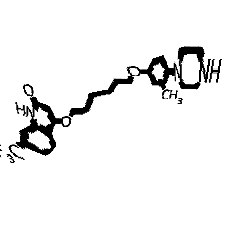 Cc1cc(OCCCCCCOc2cc(=O)[nH]c3cc(C(F)(F)F)ccc23)ccc1N1CCNCC1